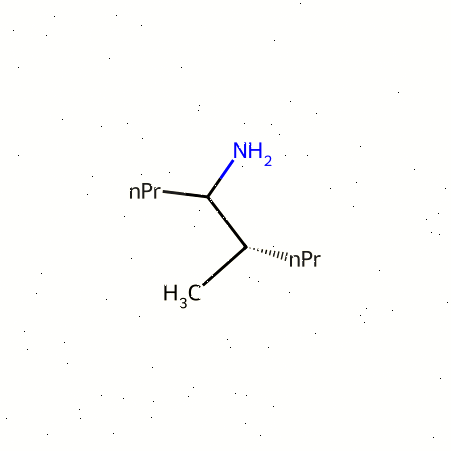 CCCC(N)[C@@H](C)CCC